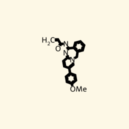 C=CC(=O)/N=C1\N=C2C=CC(c3ccc(OC)cc3)=CN2Cc2ccccc21